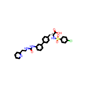 O=C(NCCc1ccccn1)Nc1cccc(-c2ccc(C[C@@H](NS(=O)(=O)c3ccc(Cl)cc3)C(=O)O)cc2)c1